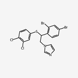 Clc1ccc(SC(Cn2ccnc2)c2ccc(Br)cc2Br)cc1Cl